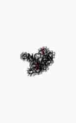 N#Cc1c(-c2ccccc2)c(C#N)c(-n2c3c(ccc4c5ccccc5sc43)c3ccc4c5cccc(-c6ccccc6)c5sc4c32)c(-c2ccccc2)c1-n1c2ccc(-c3ccccc3)cc2c2cc(-c3ccccc3)ccc21